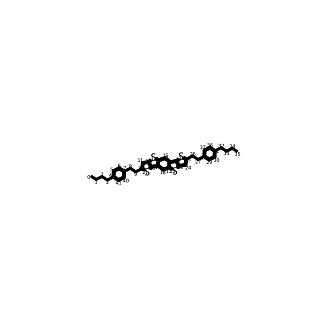 CCCCc1ccc(CCc2cc3sc4cc5c(cc4c3s2)sc2cc(CCc3ccc(CCCC)cc3)sc25)cc1